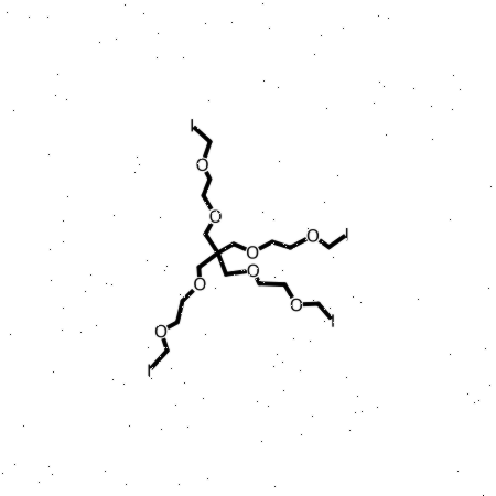 ICOCCOCC(COCCOCI)(COCCOCI)COCCOCI